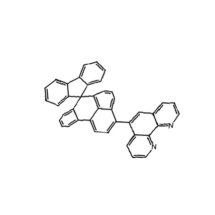 c1ccc2c(c1)-c1ccccc1C21c2ccccc2-c2ccc(-c3cc4cccnc4c4ncccc34)c3cccc1c23